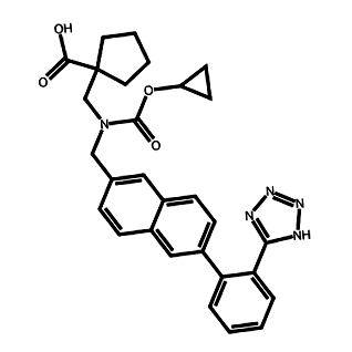 O=C(OC1CC1)N(Cc1ccc2cc(-c3ccccc3-c3nnn[nH]3)ccc2c1)CC1(C(=O)O)CCCC1